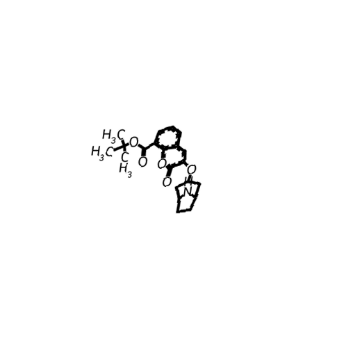 CC(C)(C)OC(=O)c1cccc2cc(OC3CC4CCC(C3)N4)c(=O)oc12